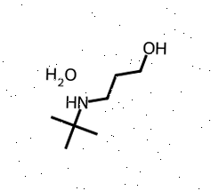 CC(C)(C)NCCCO.O